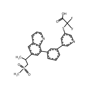 CC(CS(C)(=O)=O)c1cc(-c2cccc(-c3cncc(SC(F)(F)C(=O)O)c3)c2)c2ncccc2c1